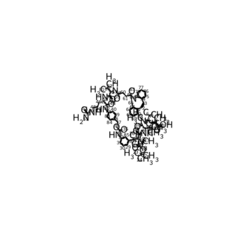 C/C(=C\[C@H](C(C)C)N(C)C(=O)[C@@H](NC(=O)[C@@H](N(C)C(=O)OC(C)(C)C)C(C)(C)c1cccc(NC(=O)OCc2ccc(NC(=O)[C@H](CCCNC(N)=O)NC(=O)[C@@H](NC(=O)CCC(=O)N3Cc4ccccc4C#Cc4ccccc43)C(C)C)cc2)c1)C(C)(C)C)C(=O)O